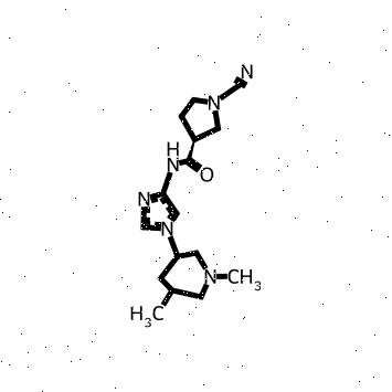 CC1CC(n2cnc(NC(=O)[C@H]3CCN(C#N)C3)c2)CN(C)C1